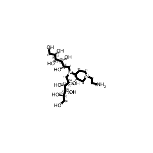 NCCN1CCC(N(C[C@H](O)[C@@H](O)[C@H](O)[C@H](O)CO)C[C@H](O)[C@@H](O)[C@H](O)[C@H](O)CO)CC1